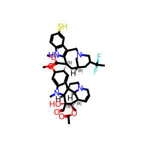 CC[C@]12C=CCN3CC[C@@]4(C5=CC([C@@]6(C(=O)OC)C[C@H]7CC(C(C)(F)F)CN(Cc8c6[nH]c6ccc(S)cc86)C7)C(OC)C=C5N(C)[C@H]4[C@@](O)(C=O)[C@@H]1OC(C)=O)[C@@H]32